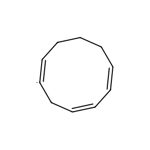 [C]1=CCCCC=CC=CC1